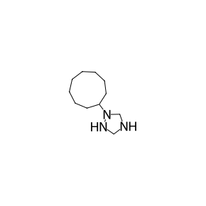 C1CCCCC(N2CNCN2)CCC1